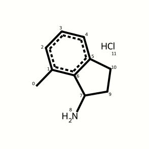 Cc1cccc2c1C(N)CC2.Cl